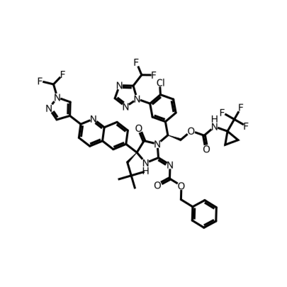 CC(C)(C)C[C@]1(c2ccc3nc(-c4cnn(C(F)F)c4)ccc3c2)N/C(=N\C(=O)OCc2ccccc2)N([C@H](COC(=O)NC2(C(F)(F)F)CC2)c2ccc(Cl)c(-n3ncnc3C(F)F)c2)C1=O